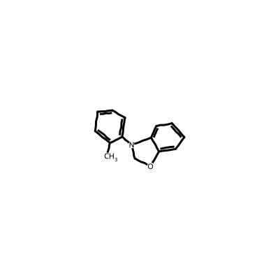 Cc1ccccc1N1COc2ccccc21